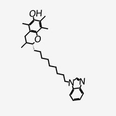 Cc1c(C)c2c(c(C)c1O)CC(C)[C@@H](CCCCCCCCCn1cnc3ccccc31)O2